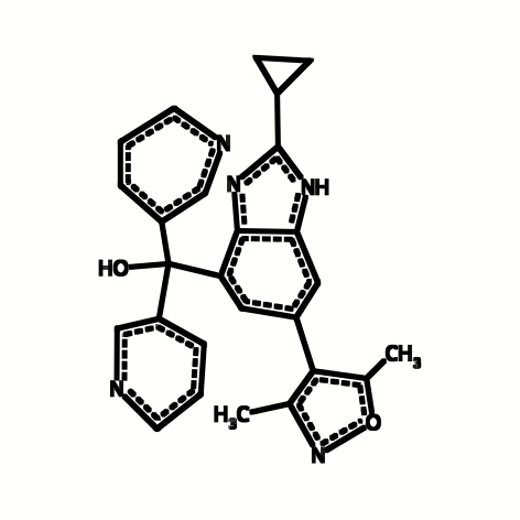 Cc1noc(C)c1-c1cc(C(O)(c2cccnc2)c2cccnc2)c2nc(C3CC3)[nH]c2c1